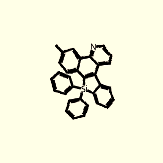 Cc1ccc2c3c(c4cccnc4c2c1)-c1ccccc1[Si]3(c1ccccc1)c1ccccc1